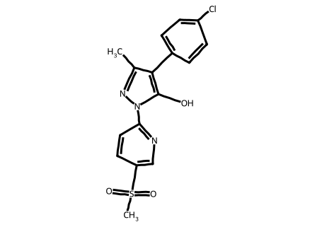 Cc1nn(-c2ccc(S(C)(=O)=O)cn2)c(O)c1-c1ccc(Cl)cc1